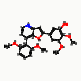 COc1cc(-c2cc3nccc(-c4c(OC)cccc4OC)c3o2)cc(O)c1OC